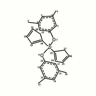 Cc1cc(C)cc([O][Zr]([O]c2cc(C)cc(C)c2)([C]2=CC=CC2)[C]2=CC=CC2)c1